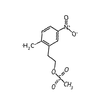 [CH2]c1ccc([N+](=O)[O-])cc1CCOS(C)(=O)=O